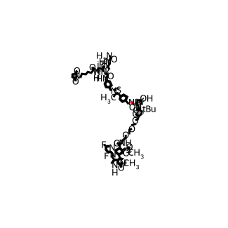 Cc1c(-c2ccc(CNC(=O)[C@@H]3C[C@@H](O)CN3C(=O)[C@@H](CC(=O)COCCOCCOCCNC(=O)c3cc4c(cc3CS(C)(=O)=O)-c3cn(C)c(=O)c5[nH]cc(c35)CN4c3ncc(F)cc3F)C(C)(C)C)cc2)sc[n+]1Cc1ccc(NC(=O)[C@H](CCCNC(N)=O)NC(=O)[C@@H](NC(=O)CCCCCN2C(=O)C=CC2=O)C(C)C)cc1